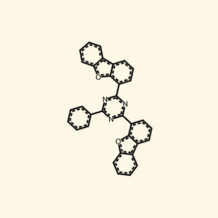 c1ccc(-c2nc(-c3cccc4c3oc3ccccc34)nc(-c3cccc4c3oc3ccccc34)n2)cc1